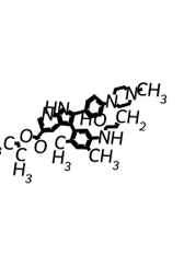 C=CC(O)Nc1cc(-c2c(-c3ccc(N4CCN(C)CC4)cc3)[nH]c3ncc(C(=O)OC(C)C)cc23)c(C)cc1C